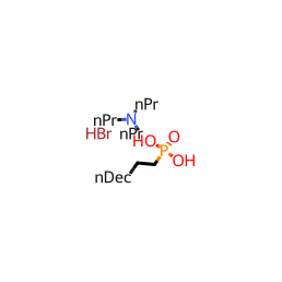 Br.CCCN(CCC)CCC.[CH2]CCCCCCCCCCCP(=O)(O)O